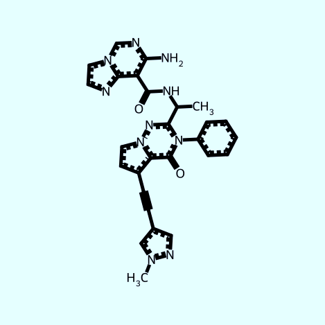 CC(NC(=O)c1c(N)ncn2ccnc12)c1nn2ccc(C#Cc3cnn(C)c3)c2c(=O)n1-c1ccccc1